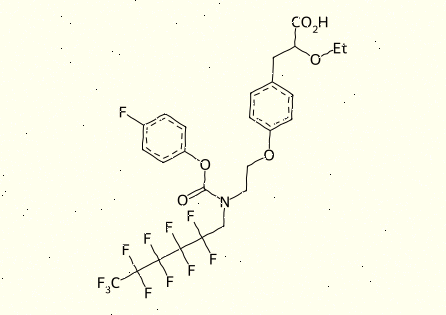 CCOC(Cc1ccc(OCCN(CC(F)(F)C(F)(F)C(F)(F)C(F)(F)C(F)(F)F)C(=O)Oc2ccc(F)cc2)cc1)C(=O)O